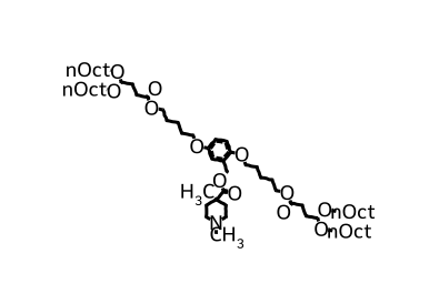 CCCCCCCCOC(CCC(=O)OCCCCCOc1ccc(OCCCCCOC(=O)CCC(OCCCCCCCC)OCCCCCCCC)c(COC(=O)C2(C)CCN(C)CC2)c1)OCCCCCCCC